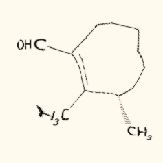 CC1=C(C=O)CCC[C@@H]1C